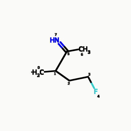 [CH2]C(CCF)C(C)=N